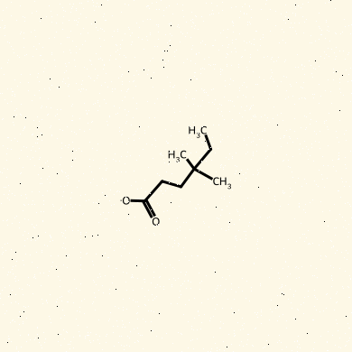 CCC(C)(C)CCC([O])=O